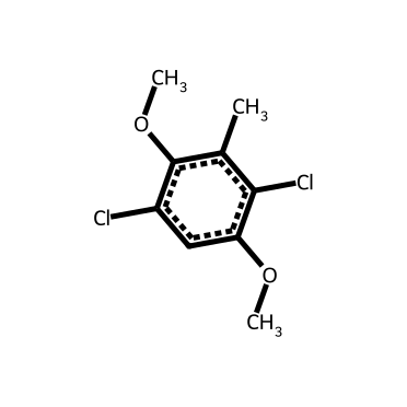 COc1cc(Cl)c(OC)c(C)c1Cl